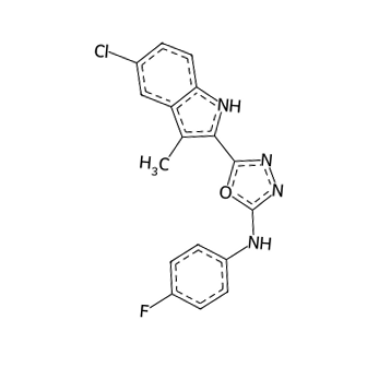 Cc1c(-c2nnc(Nc3ccc(F)cc3)o2)[nH]c2ccc(Cl)cc12